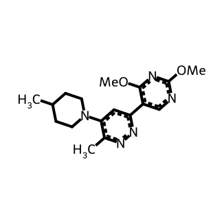 COc1ncc(-c2cc(N3CCC(C)CC3)c(C)nn2)c(OC)n1